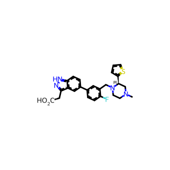 CN1CCN(Cc2cc(-c3ccc4[nH]nc(CC(=O)O)c4c3)ccc2F)[C@@H](c2cccs2)C1